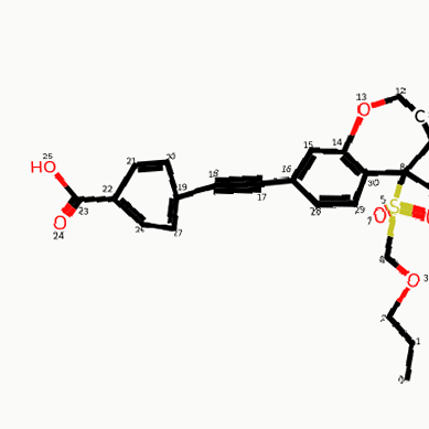 CCCOCS(=O)(=O)C1(C)CCCOc2cc(C#Cc3ccc(C(=O)O)cc3)ccc21